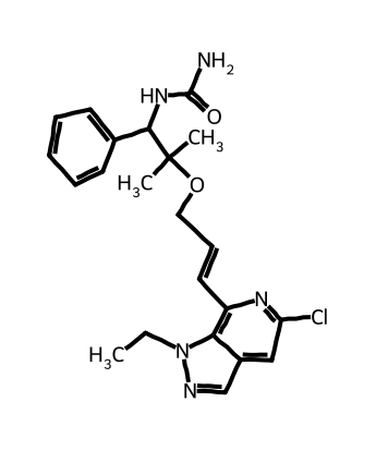 CCn1ncc2cc(Cl)nc(C=CCOC(C)(C)C(NC(N)=O)c3ccccc3)c21